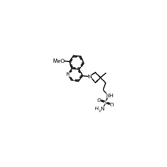 COc1cccc2c(N3CC(C)(CCNS(N)(=O)=O)C3)ccnc12